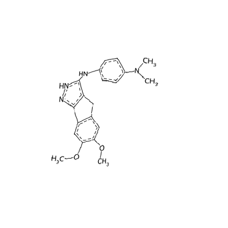 COc1cc2c(cc1OC)-c1n[nH]c(Nc3ccc(N(C)C)cc3)c1C2